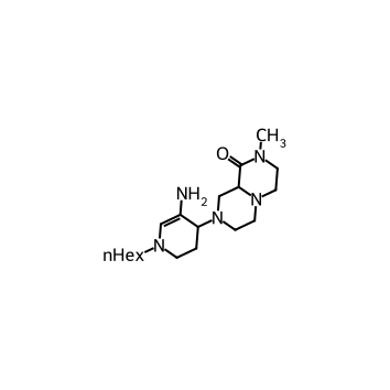 CCCCCCN1C=C(N)C(N2CCN3CCN(C)C(=O)C3C2)CC1